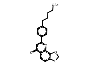 CC(=O)OCCCCc1ccc(-c2cc(=O)c3ccc4c(c3o2)OCO4)cc1